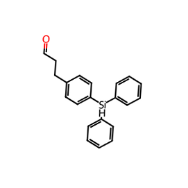 O=CCCc1ccc([SiH](c2ccccc2)c2ccccc2)cc1